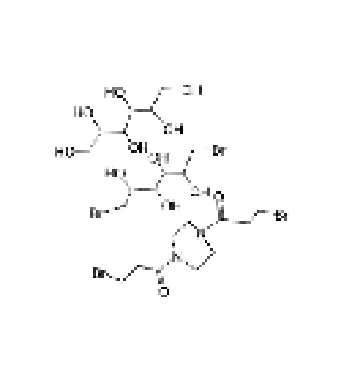 O=C(CCBr)N1CCN(C(=O)CCBr)CC1.OC(CBr)C(O)C(O)C(O)CBr.OCC(O)C(O)C(O)C(O)CO